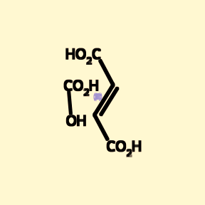 O=C(O)/C=C/C(=O)O.O=C(O)O